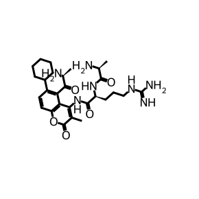 Cc1c(NC(=O)[C@H](CCCNC(=N)N)NC(=O)[C@H](C)N)c2c(C(=O)[C@H](C)N)c(C3CCCCC3)ccc2oc1=O